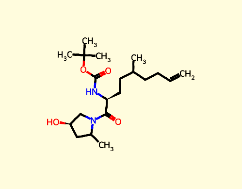 C=CCCC(C)CC[C@H](NC(=O)OC(C)(C)C)C(=O)N1C[C@H](O)CC1C